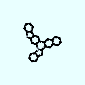 c1ccc2cc3c(cc2c1)c1cc2c(cc1n1c4ccccc4cc31)sc1ccccc12